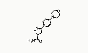 NC(=O)C1CC(c2ccc(N3CCOCC3)cc2)=NO1